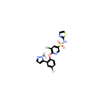 Cn1nccc1-c1cc(Cl)ccc1Oc1ncc(S(=O)(=O)Nc2nccs2)cc1Cl